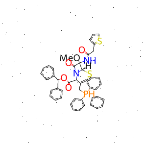 CO[C@@]1(NC(=O)Cc2cccs2)C(=O)N2C(C(=O)OC(c3ccccc3)c3ccccc3)C(C[PH](c3ccccc3)(c3ccccc3)c3ccccc3)=CS[C@H]21